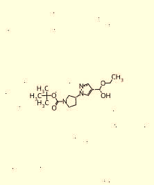 CCOC(O)c1cnn(C2CCN(C(=O)OC(C)(C)C)C2)c1